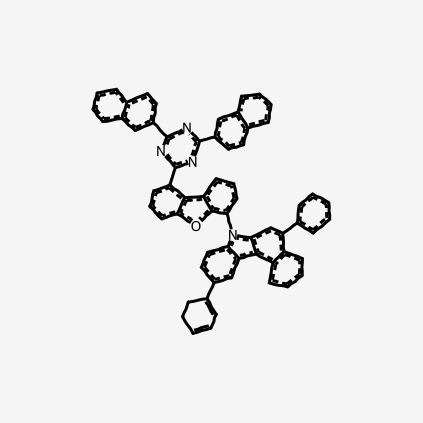 C1=CCCC(c2ccc3c(c2)c2c4ccccc4c(-c4ccccc4)cc2n3-c2cccc3c2oc2cccc(-c4nc(-c5ccc6ccccc6c5)nc(-c5ccc6ccccc6c5)n4)c23)=C1